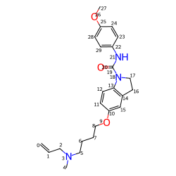 C=CCN(C)CCCCOc1ccc2c(c1)CCN2C(=O)Nc1ccc(OC)cc1